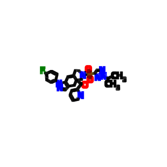 CC(C)n1ncc(S(=O)(=O)N2CCC3=Cc4c(cnn4-c4ccc(F)cc4)CC3(C(=O)c3ccccn3)C2)n1